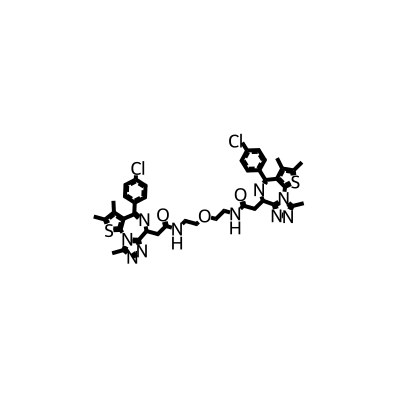 Cc1sc2c(c1C)C(c1ccc(Cl)cc1)=NC(CC(=O)NCCOCCNC(=O)CC1N=C(c3ccc(Cl)cc3)c3c(sc(C)c3C)-n3c(C)nnc31)c1nnc(C)n1-2